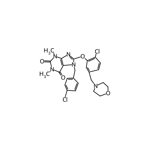 Cn1c(=O)c2c(nc(Oc3cc(CN4CCOCC4)ccc3Cl)n2Cc2ccc(Cl)cc2)n(C)c1=O